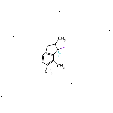 Cc1ccc2c(c1C)C(F)(I)C(C)C2